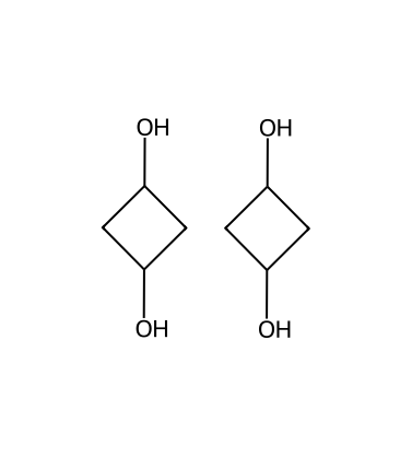 OC1CC(O)C1.OC1CC(O)C1